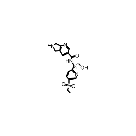 CCS(=O)(=O)c1ccc([C@@H](CO)NC(=O)c2cnc3c(c2)CN(C)C3)nc1